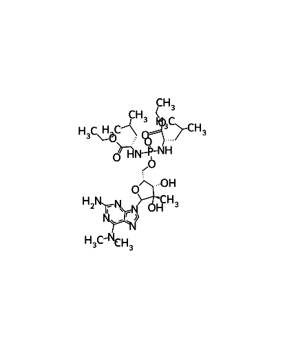 CCOC(=O)[C@H](CC(C)C)NP(=O)(N[C@@H](CC(C)C)C(=O)OCC)OC[C@H]1OC(n2cnc3c(N(C)C)nc(N)nc32)[C@@](C)(O)[C@H]1O